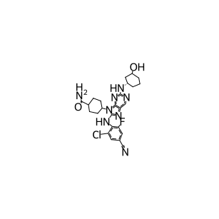 N#Cc1cc(F)c(Nc2nc3cnc(N[C@H]4CCC[C@H](O)C4)nc3n2C2CCC(C(N)=O)CC2)c(Cl)c1